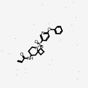 C=CC(=O)NC1CCN(S(=O)(=O)c2ccc(Oc3ccccc3)nc2)C2(CCC2)C1